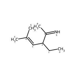 CCC(C=C(C)C)C(C)=N